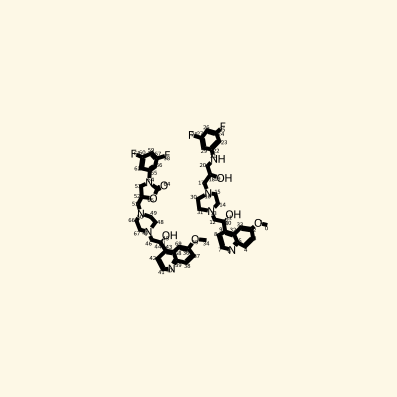 COc1ccc2nccc([C@@H](O)CN3CCN(CC(O)CNc4cc(F)cc(F)c4)CC3)c2c1.COc1ccc2nccc([C@@H](O)CN3CCN(CC4CN(c5cc(F)cc(F)c5)C(=O)O4)CC3)c2c1